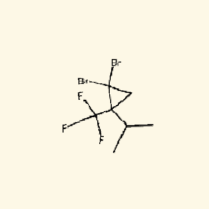 CC(C)C1(C(F)(F)F)CC1(Br)Br